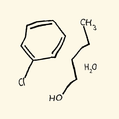 CCCCO.Clc1ccccc1.O